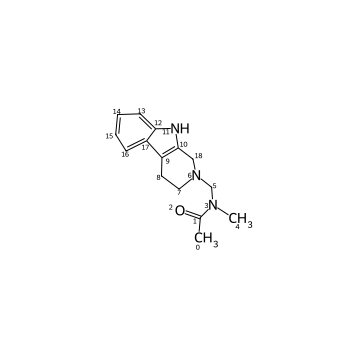 CC(=O)N(C)CN1CCc2c([nH]c3ccccc23)C1